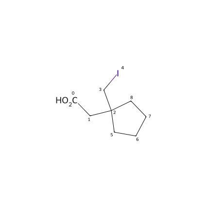 O=C(O)CC1(CI)CCCC1